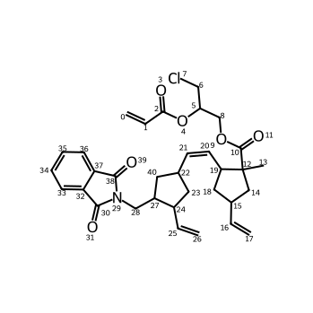 C=CC(=O)OC(CCl)COC(=O)C1(C)CC(C=C)CC1/C=C\C1CC(C=C)C(CN2C(=O)c3ccccc3C2=O)C1